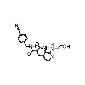 N#Cc1ccc(CNC(=O)c2cc3ccnc(NCCO)c3[nH]c2=O)cc1